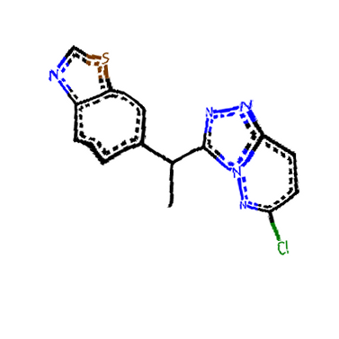 CC(c1ccc2ncsc2c1)c1nnc2ccc(Cl)nn12